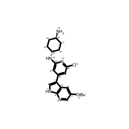 CC(C)COc1cnc2[nH]cc(-c3cc(Cl)nc(N[C@H]4CC[C@H](N)CC4)c3)c2c1